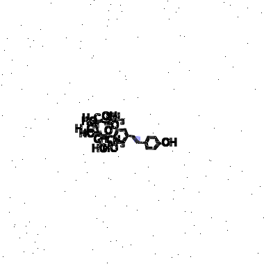 CC1(O)[C@](C)(Oc2cc(O)cc(/C=C/c3ccc(O)cc3)c2)OC(C)(CO)[C@@](C)(O)[C@@]1(C)O